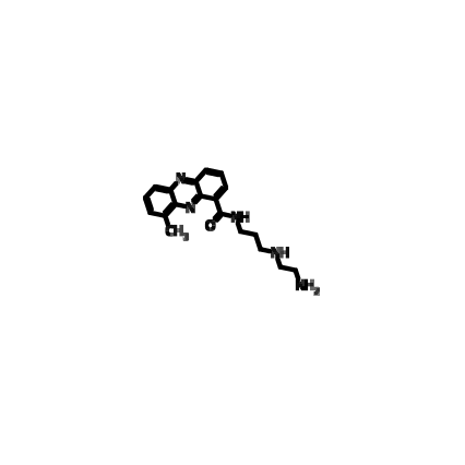 Cc1cccc2nc3cccc(C(=O)NCCCNCCN)c3nc12